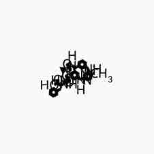 Cc1cnc(Nc2cccc(S(=O)(=O)NN[C@@H](Cc3ccccc3)C(=O)O)c2)nc1Nc1cccc(CNS(=O)(=O)C2CC2)c1